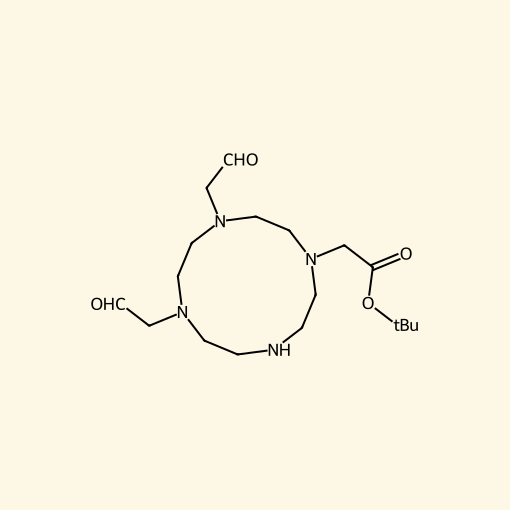 CC(C)(C)OC(=O)CN1CCNCCN(CC=O)CCN(CC=O)CC1